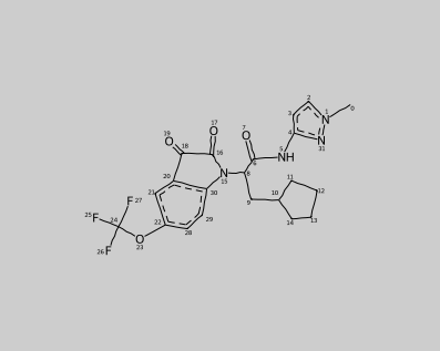 Cn1ccc(NC(=O)C(CC2CCCC2)N2C(=O)C(=O)c3cc(OC(F)(F)F)ccc32)n1